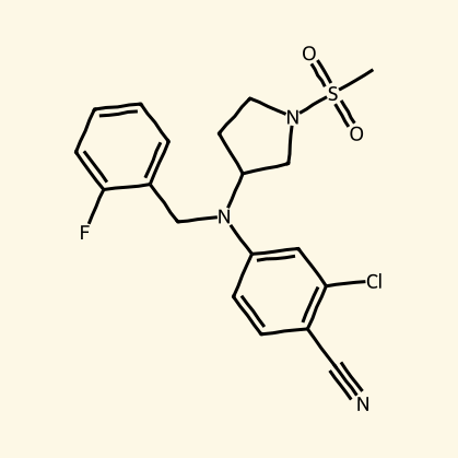 CS(=O)(=O)N1CCC(N(Cc2ccccc2F)c2ccc(C#N)c(Cl)c2)C1